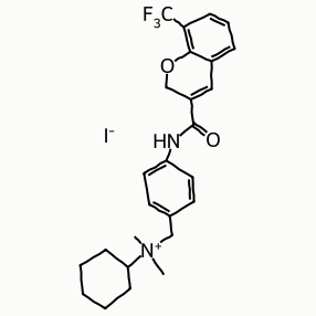 C[N+](C)(Cc1ccc(NC(=O)C2=Cc3cccc(C(F)(F)F)c3OC2)cc1)C1CCCCC1.[I-]